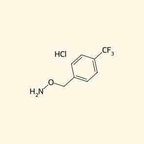 Cl.NOCc1ccc(C(F)(F)F)cc1